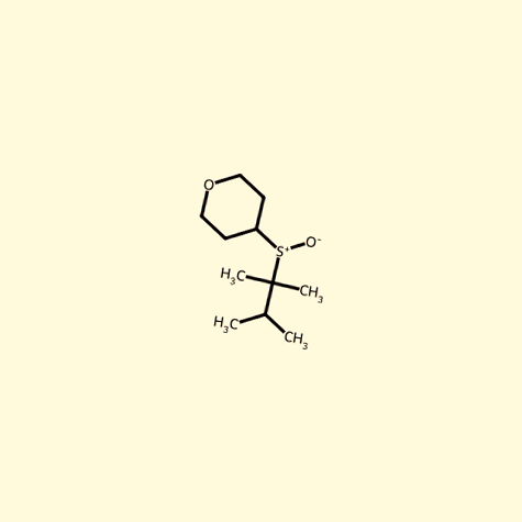 CC(C)C(C)(C)[S+]([O-])C1CCOCC1